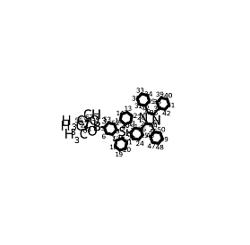 CC1(C)OB(c2ccc([Si](c3ccccc3)(c3ccccc3)c3cccc(-c4nc(-c5ccccc5)c(-c5ccccc5)nc4-c4ccccc4)c3)cc2)OC1(C)C